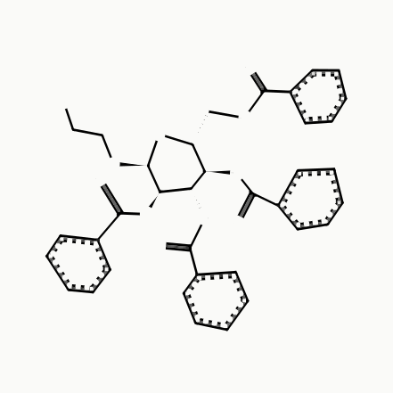 O=C(OC[C@H]1O[C@H](OCCBr)[C@H](OC(=O)c2ccccc2)[C@@H](OC(=O)c2ccccc2)[C@@H]1OC(=O)c1ccccc1)c1ccccc1